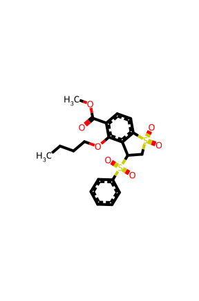 CCCCOc1c(C(=O)OC)ccc2c1C(S(=O)(=O)c1ccccc1)CS2(=O)=O